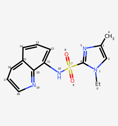 CCn1cc(C)nc1S(=O)(=O)Nc1cccc2cccnc12